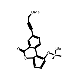 COCC#Cc1ccc2c(c1)c(=O)oc1cccc(O[Si](C)(C)C(C)(C)C)c12